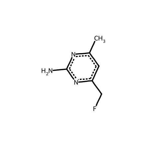 Cc1cc(CF)nc(N)n1